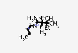 C=C/C=C\N=C(/N)C(C)(CC)C(C)(C)CC